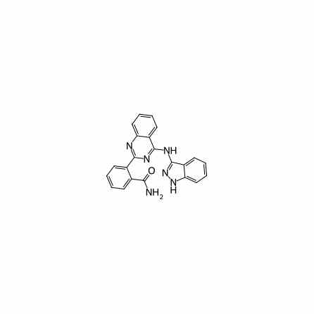 NC(=O)c1ccccc1-c1nc(Nc2n[nH]c3ccccc23)c2ccccc2n1